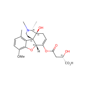 COc1ccc(C)c2c1O[C@H]1C(OC(=O)C[C@H](O)C(=O)O)=CC[C@@]3(O)[C@@H](C)N(C)CC[C@]213